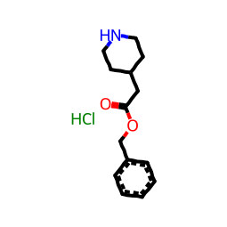 Cl.O=C(CC1CCNCC1)OCc1ccccc1